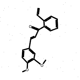 C=Cc1ccccc1C(=O)C=Cc1ccc(OC)c(OC)c1